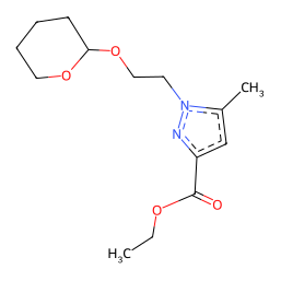 CCOC(=O)c1cc(C)n(CCOC2CCCCO2)n1